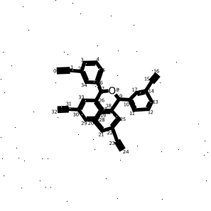 C#Cc1cccc(C(OC(c2cccc(C#C)c2)c2cccc(C#C)c2)c2cccc(C#C)c2)c1